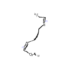 C/C=N\CC/N=C\C